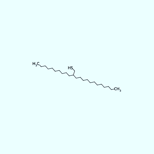 CCCCCCCCCCCCC(CS)CCCCCCCCCC